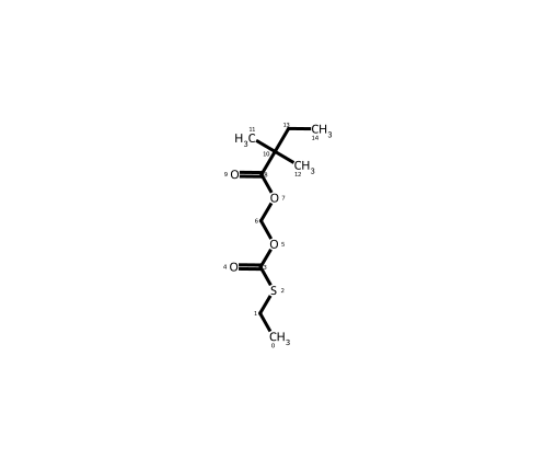 CCSC(=O)OCOC(=O)C(C)(C)CC